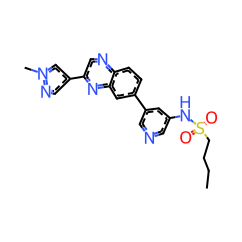 CCCCS(=O)(=O)Nc1cncc(-c2ccc3ncc(-c4cnn(C)c4)nc3c2)c1